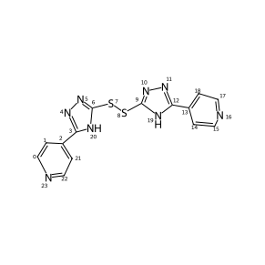 c1cc(-c2nnc(SSc3nnc(-c4ccncc4)[nH]3)[nH]2)ccn1